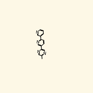 Cc1cnc(-c2ccc(-c3cccnc3)nc2)cn1